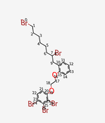 BrCCCCCCC(Br)Cc1ccccc1OCCOc1ccc(Br)c(Br)c1Br